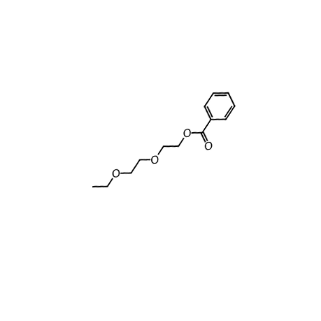 CCOCCOCCOC(=O)c1ccccc1